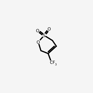 O=S1(=O)CC=C(C(F)(F)F)CO1